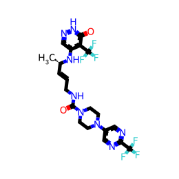 C[C@@H](/C=C/CNC(=O)N1CCN(c2cnc(C(F)(F)F)nc2)CC1)Nc1cn[nH]c(=O)c1C(F)(F)F